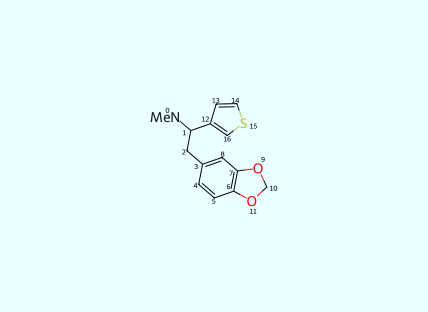 CNC(Cc1ccc2c(c1)OCO2)c1ccsc1